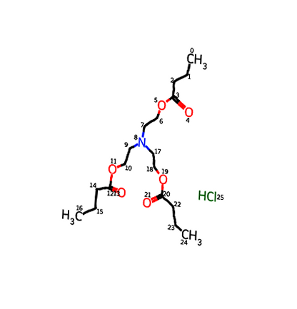 CCCC(=O)OCCN(CCOC(=O)CCC)CCOC(=O)CCC.Cl